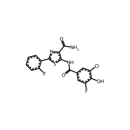 NC(=O)c1nc(-c2ccccc2F)sc1NC(=O)c1cc(F)c(O)c(Cl)c1